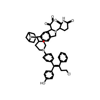 O=CC(=O)C1c2cc(N3CC4CC(C3)N4CC3CCN(c4ccc(C(=C(CCCl)c5ccccc5)c5ccc(O)cc5)cc4)CC3)ccc2CN1C1CCC(=O)NC1=O